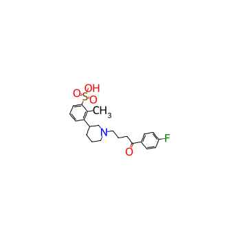 Cc1c(C2CCCN(CCCC(=O)c3ccc(F)cc3)C2)cccc1S(=O)(=O)O